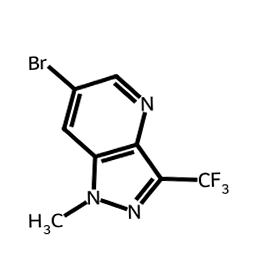 Cn1nc(C(F)(F)F)c2ncc(Br)cc21